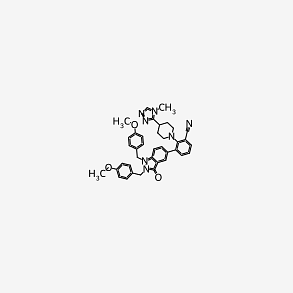 COc1ccc(Cn2c(=O)c3cc(-c4cccc(C#N)c4N4CCC(c5nncn5C)CC4)ccc3n2Cc2ccc(OC)cc2)cc1